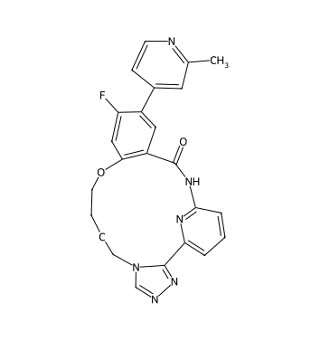 Cc1cc(-c2cc3c(cc2F)OCCCCn2cnnc2-c2cccc(n2)NC3=O)ccn1